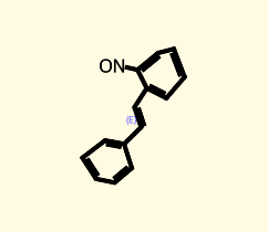 O=Nc1ccccc1/C=C/c1ccccc1